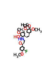 COc1ccc(C(=O)/C=C\Nc2c(/C=C\c3cc(OC)c(OC)c(OC)c3)ccc(OC)c2O)cc1F